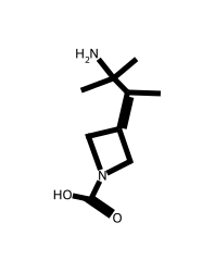 CC(=C1CN(C(=O)O)C1)C(C)(C)N